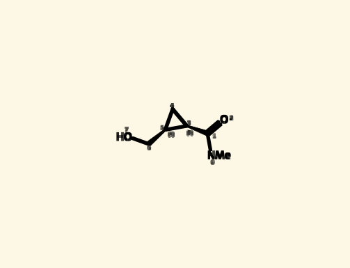 CNC(=O)[C@@H]1C[C@@H]1CO